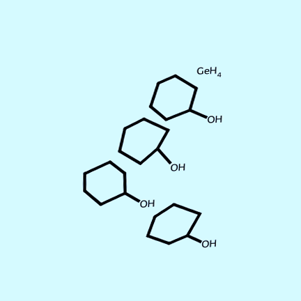 OC1CCCCC1.OC1CCCCC1.OC1CCCCC1.OC1CCCCC1.[GeH4]